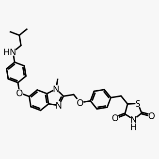 CC(C)CNc1ccc(Oc2ccc3nc(COc4ccc(CC5SC(=O)NC5=O)cc4)n(C)c3c2)cc1